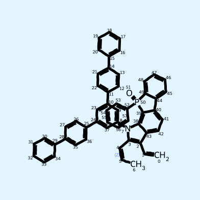 C=Cc1c(/C=C\C)n(-c2cc(-c3ccc(-c4ccccc4)cc3)cc(-c3ccc(-c4ccccc4)cc3)c2)c2c3c(ccc12)-c1ccccc1P3(=O)c1ccccc1